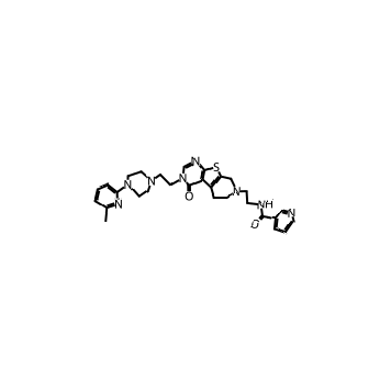 Cc1cccc(N2CCN(CCn3cnc4sc5c(c4c3=O)CCN(CCNC(=O)c3cccnc3)C5)CC2)n1